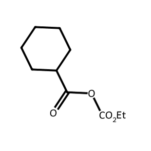 CCOC(=O)OC(=O)C1CCCCC1